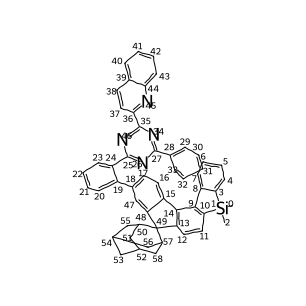 C[Si]1(C)c2ccccc2-c2c1ccc1c2-c2ccc(-c3ccccc3-c3nc(-c4ccccc4)nc(-c4ccc5ccccc5n4)n3)cc2C12C1CC3CC(C1)CC2C3